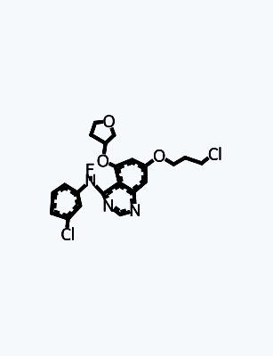 FN(c1cccc(Cl)c1)c1ncnc2cc(OCCCCl)cc(OC3CCOC3)c12